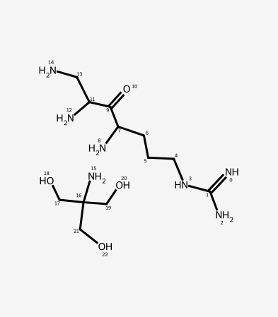 N=C(N)NCCCC(N)C(=O)C(N)CN.NC(CO)(CO)CO